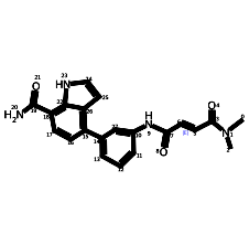 CN(C)C(=O)/C=C/C(=O)Nc1cccc(-c2ccc(C(N)=O)c3[nH]ccc23)c1